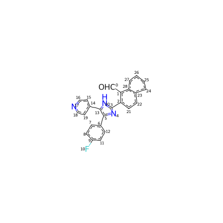 O=Cc1c(-c2nc(-c3ccc(F)cc3)c(-c3ccncc3)[nH]2)ccc2ccccc12